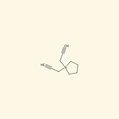 C#CC[Si]1(CC#C)CCCC1